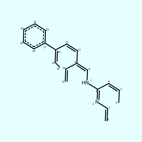 C=C/N=C(\C=C/C)N/C=C(C=C)/C=C\C(=C/C)c1ccccc1